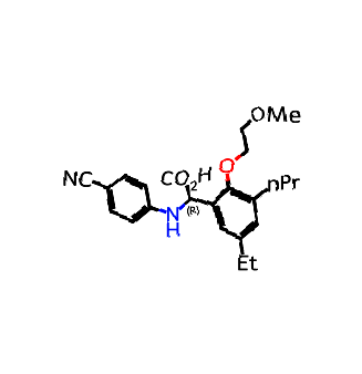 CCCc1cc(CC)cc([C@@H](Nc2ccc(C#N)cc2)C(=O)O)c1OCCOC